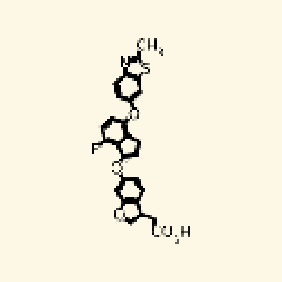 Cc1nc2ccc(Oc3ccc(F)c4c3CC[C@H]4Oc3ccc4c(c3)OCC4CC(=O)O)cc2s1